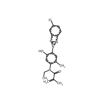 C=C(C)C(=O)N(CC)c1cc(O)c(-n2n3c4ccc(Cl)cc4n23)cc1C